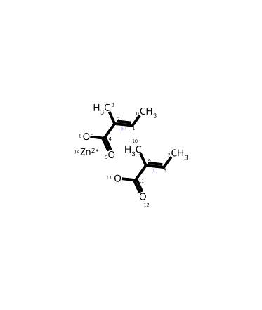 C/C=C(\C)C(=O)[O-].C/C=C(\C)C(=O)[O-].[Zn+2]